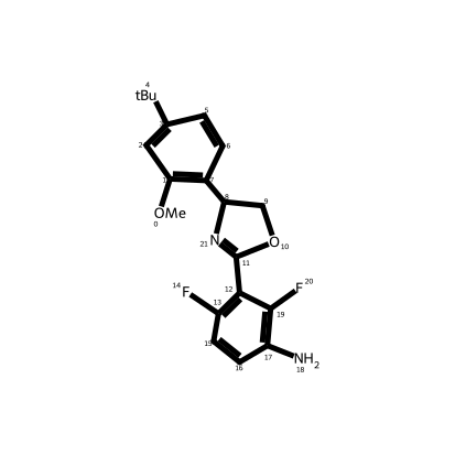 COc1cc(C(C)(C)C)ccc1C1COC(c2c(F)ccc(N)c2F)=N1